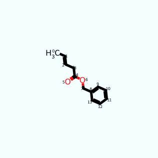 C/C=C/[CH]C(=O)OCc1ccccc1